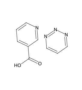 O=C(O)c1cccnc1.c1cnnnc1